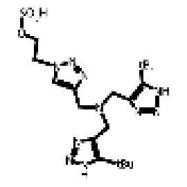 CC(C)(C)c1[nH]nnc1CN(Cc1cn(CCOS(=O)(=O)O)nn1)Cc1nn[nH]c1C(C)(C)C